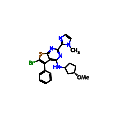 CO[C@@H]1CC[C@H](Nc2nc(-c3nccn3C)nc3sc(Br)c(-c4ccccc4)c23)C1